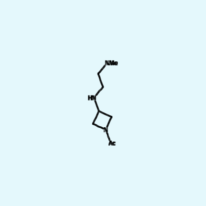 CNCCNC1CN(C(C)=O)C1